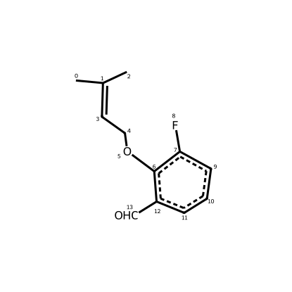 CC(C)=CCOc1c(F)cccc1C=O